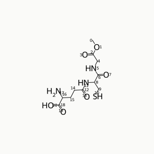 COC(=O)CNC(=O)C(CS)NC(=O)CCC(N)C(=O)O